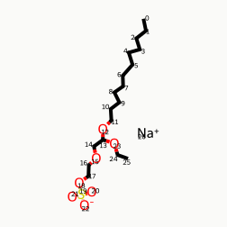 CCCCCCCCCCCCOC(COCCOS(=O)(=O)[O-])OCC.[Na+]